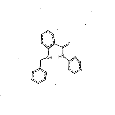 O=C(Nc1ccncc1)c1ccccc1[Se]Cc1ccccc1